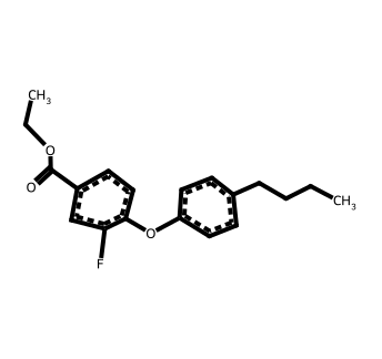 CCCCc1ccc(Oc2ccc(C(=O)OCC)cc2F)cc1